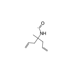 C=CCC(C)(CC=C)N[C]=O